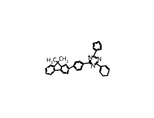 CC1(C)c2ccccc2-c2ccc(-c3ccc(-c4nc(C5=CCCC=C5)nc(-c5ccccc5)n4)cc3)cc21